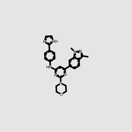 Cc1nn(C)c2cc(-c3cc(Nc4ccc(-c5ncc[nH]5)cc4)nc(N4CCOCC4)n3)ccc12